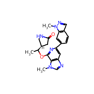 CC(Oc1nc(-c2ccc3cnn(C)c3c2)cc2ncn(C)c12)[C@H]1CNC(=O)C1